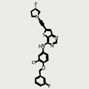 Fc1cccc(COc2ccc(Nc3ncnc4cc(C#CN5CC[C@H](F)C5)sc34)cc2Cl)c1